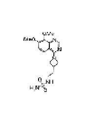 COc1ccc2c(N3CC(CCNS(N)(=O)=O)C3)ncnc2c1OC